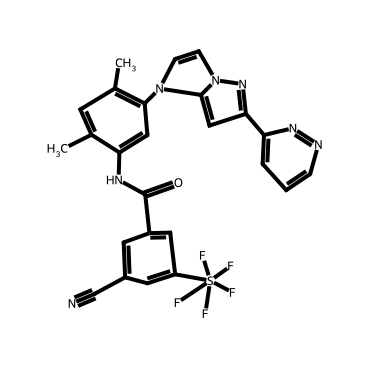 Cc1cc(C)c(-n2ccn3nc(-c4cccnn4)cc23)cc1NC(=O)c1cc(C#N)cc(S(F)(F)(F)(F)F)c1